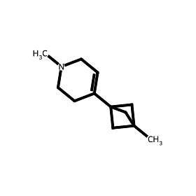 CN1CC=C(C23CC(C)(C2)C3)CC1